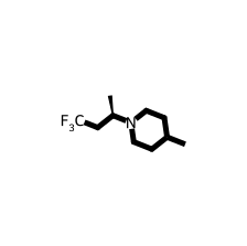 CC1CCN([C@H](C)CC(F)(F)F)CC1